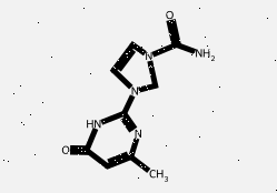 Cc1cc(=O)[nH]c(N2C=CN(C(N)=O)C2)n1